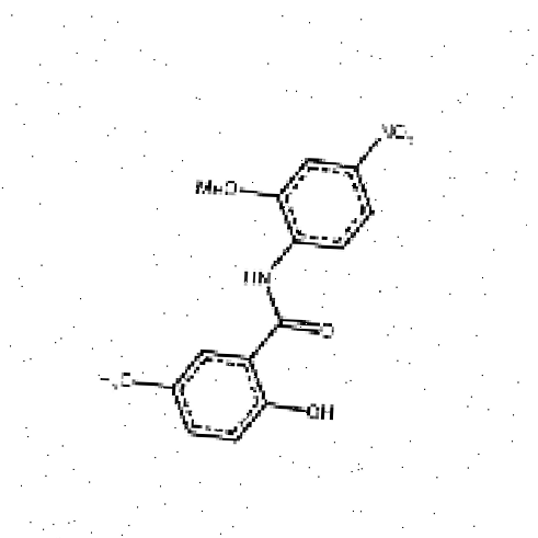 COc1cc([N+](=O)[O-])ccc1NC(=O)c1cc(C)ccc1O